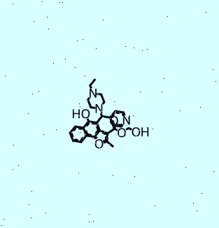 CCN1CCN(C(c2ccncc2)c2c(O)c3ccccc3c3oc(C)c(C(=O)OCO)c23)CC1